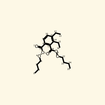 CCCCOOC(=O)c1ccc(CC)c(CC)c1C(=O)OOCCCC